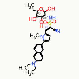 CC[C@H]1OC(O)[C@H](NS(=O)(=O)/C(C#N)=C/c2ccc(-c3ccc4cc(N(CC)CC)ccc4c3)n2C)[C@@H](O)[C@@H]1O